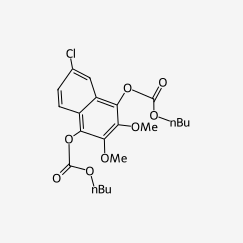 CCCCOC(=O)Oc1c(OC)c(OC)c(OC(=O)OCCCC)c2cc(Cl)ccc12